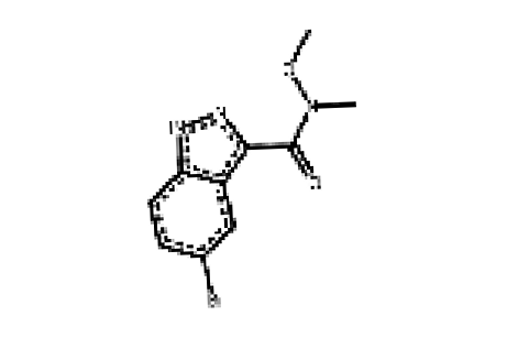 CON(C)C(=O)c1n[nH]c2ccc(Br)cc12